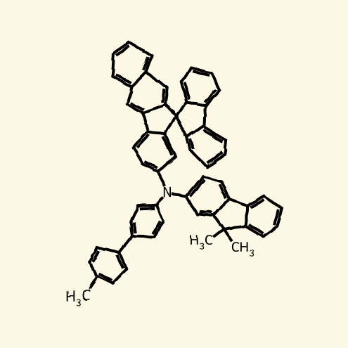 Cc1ccc(-c2ccc(N(c3ccc4c(c3)C(C)(C)c3ccccc3-4)c3ccc4c(c3)C3(c5ccccc5-c5ccccc53)c3cc5ccccc5cc3-4)cc2)cc1